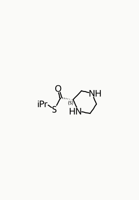 CC(C)SC(=O)[C@@H]1CNCCN1